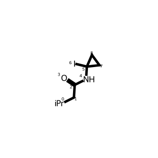 CC(C)CC(=O)NC1(I)CC1